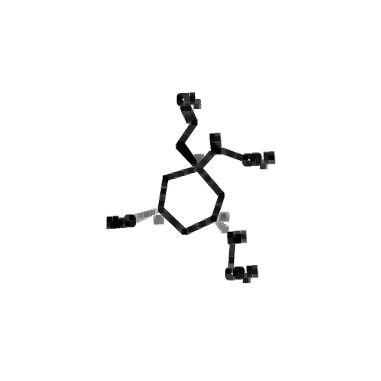 C=CC[C@@]1(NC(=O)O)C[C@H](NC(=O)O)C[C@H](OC)C1